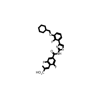 C/C(=C\c1c(F)cc(C(=O)Nc2nc(-c3cccc(OCC4CCCCC4)c3F)cs2)cc1F)C(=O)O